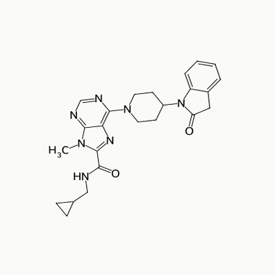 Cn1c(C(=O)NCC2CC2)nc2c(N3CCC(N4C(=O)Cc5ccccc54)CC3)ncnc21